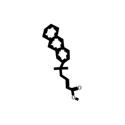 COC(=O)C=CCC(C)(C)c1ccc2cc3ccccc3cc2c1